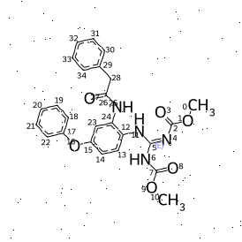 COC(=O)/N=C(/NC(=O)OC)Nc1ccc(Oc2ccccc2)cc1NC(=O)Cc1ccccc1